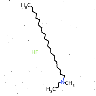 CCCCCCCCCCCCCCCCCCCCCCN(C)CCC.F